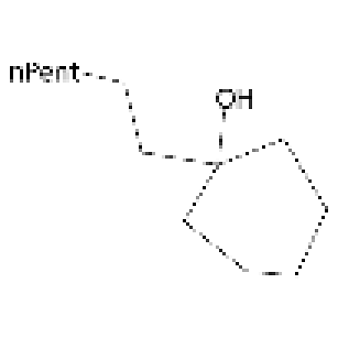 CCCCCCCC1(O)CCCCC1